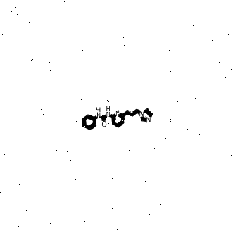 O=C(Nc1ccccc1)Nc1cccc(CCCn2ccnc2)n1